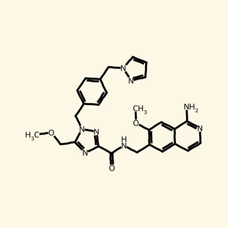 COCc1nc(C(=O)NCc2cc3ccnc(N)c3cc2OC)nn1Cc1ccc(Cn2cccn2)cc1